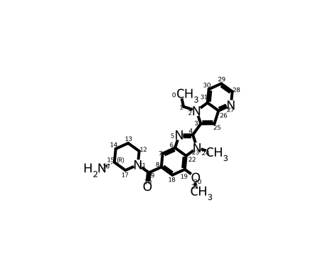 CCn1c(-c2nc3cc(C(=O)N4CCC[C@@H](N)C4)cc(OC)c3n2C)cc2ncccc21